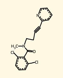 CN(CCC#Cc1ccccn1)C(=O)c1c(Cl)cccc1Cl